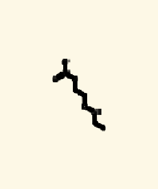 CCNOCCO[N+](=O)[O-]